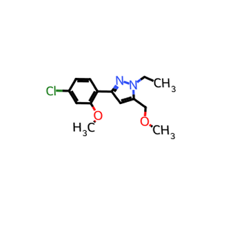 CCn1nc(-c2ccc(Cl)cc2OC)cc1COC